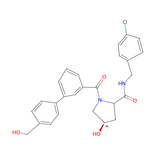 O=C(NCc1ccc(Cl)cc1)C1C[C@@H](O)CN1C(=O)c1cccc(-c2ccc(CO)cc2)c1